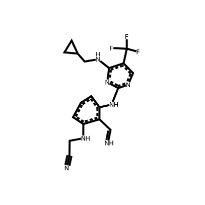 N#CCNc1cccc(Nc2ncc(C(F)(F)F)c(NCC3CC3)n2)c1C=N